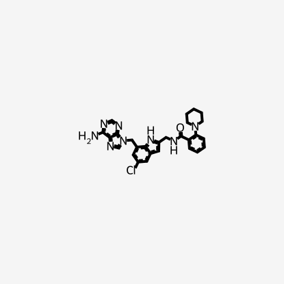 Nc1ncnc2c1ncn2Cc1cc(Cl)cc2cc(CNC(=O)c3ccccc3N3CCCCC3)[nH]c12